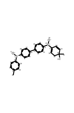 Cc1ccc([S+]([O-])c2ccc(-c3ccc([S+]([O-])C4=CCC(C)(I)C=C4)cc3)cc2)cc1